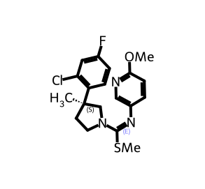 COc1ccc(/N=C(/SC)N2CC[C@@](C)(c3ccc(F)cc3Cl)C2)cn1